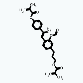 C=C(C)C(=O)OCCCc1ccc(/C=C(\C)c2ccc(OC(=O)C(=C)C)cc2)c(OC=O)c1